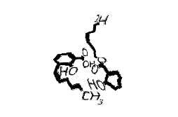 CCCC/C=C\c1cccc(C(=O)O)c1O.[2H]CC/C=C\CCOC(=O)c1ccccc1O